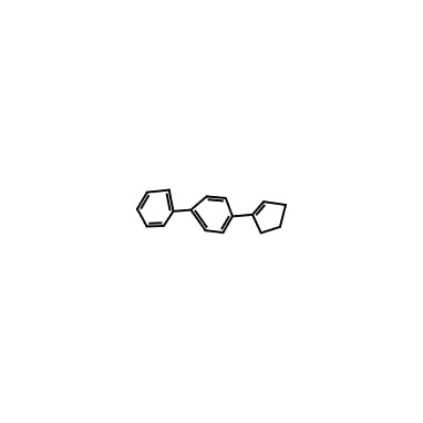 C1=C(c2ccc(-c3ccccc3)cc2)CCC1